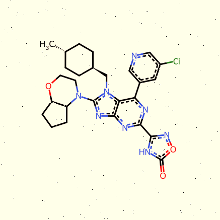 C[C@H]1CC[C@H](Cn2c(N3CCOC4CCCC43)nc3nc(-c4noc(=O)[nH]4)nc(-c4cncc(Cl)c4)c32)CC1